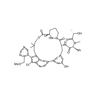 CCn1c(-c2cnccc2COC)c2c3cc(ccc31)-c1cc(O)cc(c1)C[C@H](NC(=O)[C@H](C(C)C)N(C)C(=O)[C@H](C)O)C(=O)N1CCC[C@H](N1)C(=O)OCC(C)(C)C2